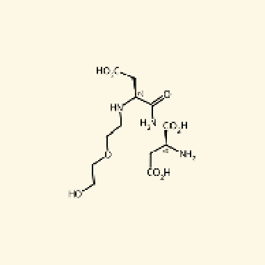 NC(=O)[C@H](CC(=O)O)NCCOCCO.N[C@@H](CC(=O)O)C(=O)O